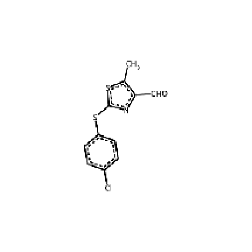 Cc1sc(Sc2ccc(Cl)cc2)nc1C=O